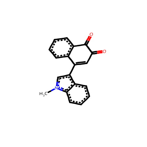 Cn1cc(C2=CC(=O)C(=O)c3ccccc32)c2ccccc21